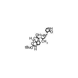 CC(CNC[C@@H]1CCNC1=O)C[C@@H]([C@H](C)O)N1CC[C@H](NC(=O)OC(C)(C)C)C1=O